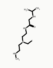 CNCCN(CI)CCNC(=O)CNC(C)C